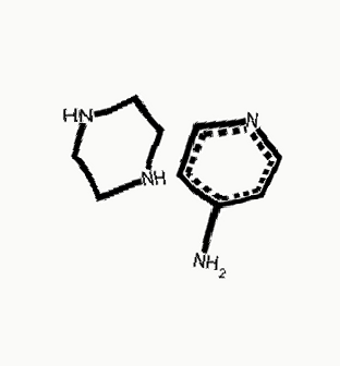 C1CNCCN1.Nc1ccncc1